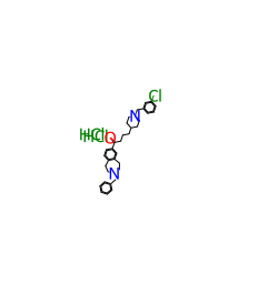 Cl.Cl.O=C(CCCC1CCN(Cc2cccc(Cl)c2)CC1)c1ccc2c(c1)CCN(Cc1ccccc1)CC2